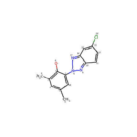 Cc1cc(C)c([O])c(-n2nc3ccc(Cl)cc3n2)c1